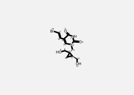 O=c1[nH]c(=O)n(C[C@@]2(CO)C[C@@H]2CO)cc1/C=C/Br